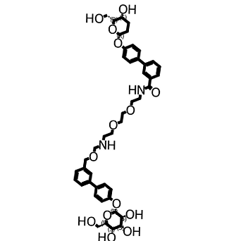 O=C(NCCOCCOCCNCOCc1cccc(-c2ccc(O[C@H]3O[C@H](CO)[C@@H](O)[C@H](O)[C@@H]3O)cc2)c1)c1cccc(-c2ccc(O[C@@H]3CC[C@H](O)[C@@H](CO)O3)cc2)c1